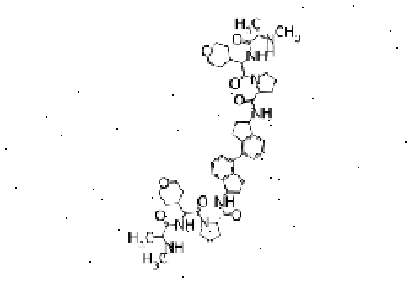 CN[C@@H](C)C(=O)NC(C(=O)N1CCC[C@H]1C(=O)N[C@@H]1CCc2c(-c3cccc4c3CC[C@H]4NC(=O)[C@@H]3CCCN3C(=O)[C@@H](NC(=O)[C@H](C)NC)C3CCOCC3)cccc21)C1CCOCC1